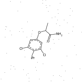 CC(Oc1cc(Cl)c(C(C)C)c(Cl)c1)C(N)=O